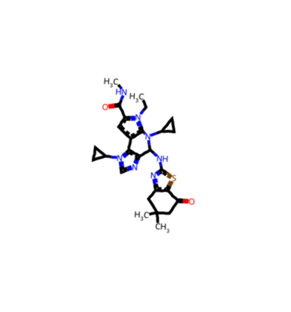 CCn1c(C(=O)NC)cc2c1N(C1CC1)C(Nc1nc3c(s1)C(=O)CC(C)(C)C3)c1ncn(C3CC3)c1-2